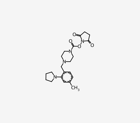 Cc1ccc(CN2CCN(C(=O)ON3C(=O)CCC3=O)CC2)c(N2CCCC2)c1